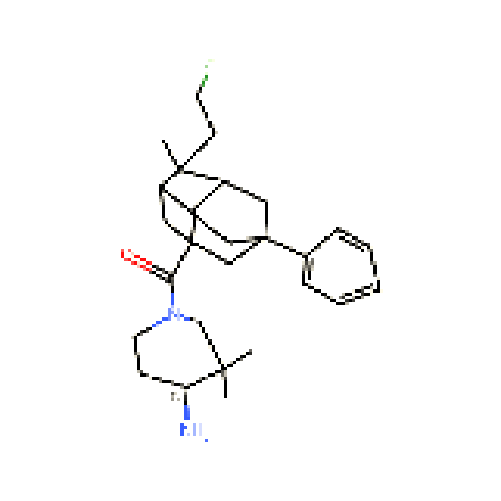 CC1(CCCl)C2CC3(C(=O)N4CC[C@H](N)C(C)(C)C4)CC1CC(c1ccccc1)(C2)C3